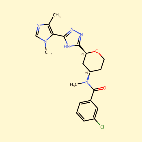 Cc1ncn(C)c1-c1nnc([C@@H]2C[C@H](N(C)C(=O)c3cccc(Cl)c3)CCO2)[nH]1